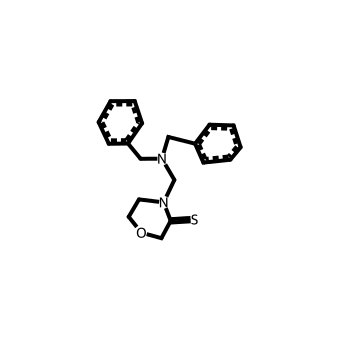 S=C1COCCN1CN(Cc1ccccc1)Cc1ccccc1